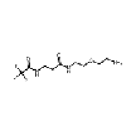 NCCOCCNC(=O)CCNC(=O)C(F)(F)F